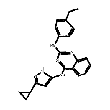 CCc1ccc(Nc2nc(Nc3cc(C4CC4)n[nH]3)c3ccccc3n2)cc1